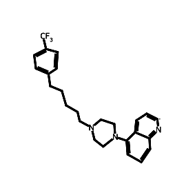 FC(F)(F)c1ccc(CCCCCN2CCN(c3cccc4n[c]ccc34)CC2)cc1